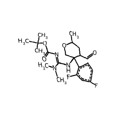 CC1CC(C=O)C(NC(=NC(=O)OC(C)(C)C)N(C)C)(c2ccc(F)cc2F)CO1